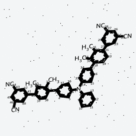 Cc1c(-c2ccc(N(c3ccccc3)c3ccc(-c4ccc(-c5cc(C#N)cc(C#N)c5)c(C)c4C)cc3)cc2)ccc(-c2cc(C#N)cc(C#N)c2)c1C